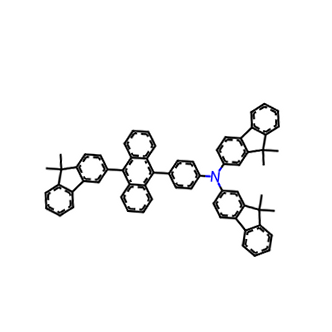 CC1(C)c2ccccc2-c2cc(-c3c4ccccc4c(-c4ccc(N(c5ccc6c(c5)C(C)(C)c5ccccc5-6)c5ccc6c(c5)C(C)(C)c5ccccc5-6)cc4)c4ccccc34)ccc21